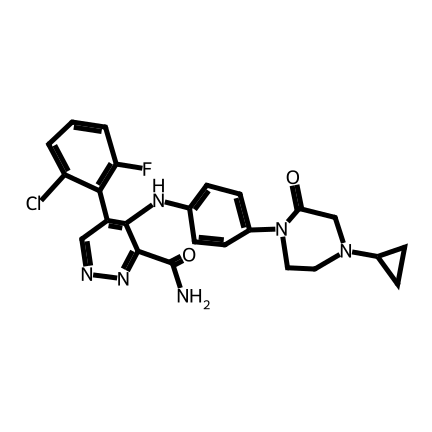 NC(=O)c1nncc(-c2c(F)cccc2Cl)c1Nc1ccc(N2CCN(C3CC3)CC2=O)cc1